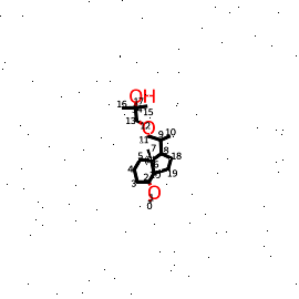 COC1CCC[C@]2(C)C(C(C)COCC(C)(C)O)CCC12